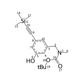 CN(Cc1cc(O)cc(C#C[Si](C)(C)C)c1)C(=O)OC(C)(C)C